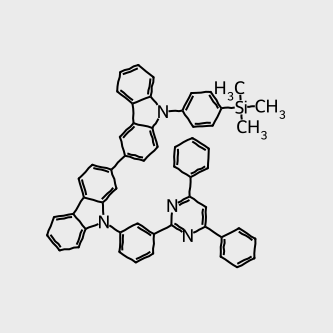 C[Si](C)(C)c1ccc(-n2c3ccccc3c3cc(-c4ccc5c6ccccc6n(-c6cccc(-c7nc(-c8ccccc8)cc(-c8ccccc8)n7)c6)c5c4)ccc32)cc1